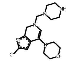 Clc1cc2c(s1)CN(CN1CCNCC1)C=C2N1CCOCC1